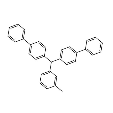 Cc1cccc(C(c2ccc(-c3ccccc3)cc2)c2ccc(-c3ccccc3)cc2)c1